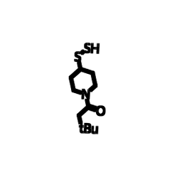 CC(C)(C)CC(=O)N1CCC(SS)CC1